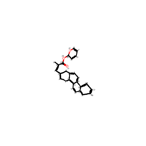 CC(=CC1CCc2c(ccc3c2ccc2ccccc23)C1)C(=O)OC1C=CC=CO1